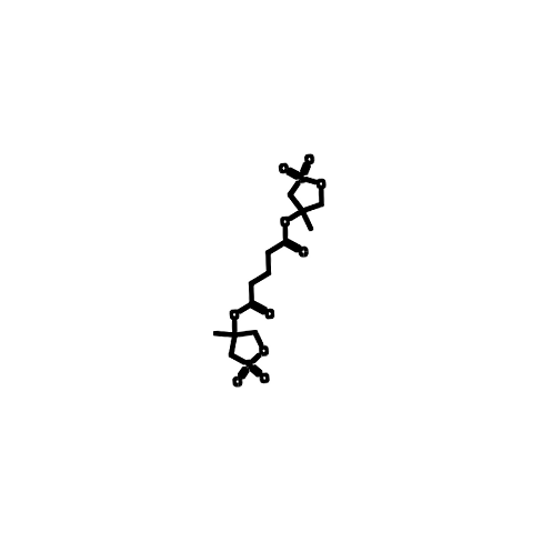 CC1(OC(=O)CCCC(=O)OC2(C)COS(=O)(=O)C2)COS(=O)(=O)C1